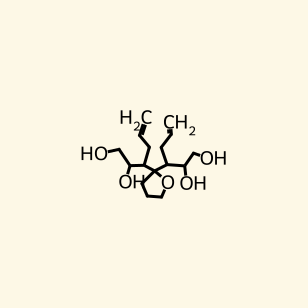 C=CCC(C(O)CO)C1(C(CC=C)C(O)CO)CCCO1